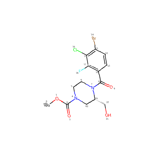 CC(C)(C)OC(=O)N1CCN(C(=O)c2ccc(Br)c(Cl)c2F)[C@H](CO)C1